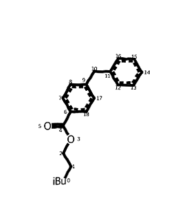 CCC(C)CCOC(=O)c1ccc(Cc2ccccc2)cc1